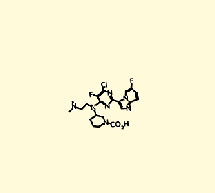 CN(C)CCN(c1nc(-c2cnc3ccc(F)cn23)nc(Cl)c1F)[C@@H]1CCCN(C(=O)O)C1